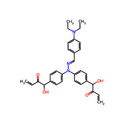 C=CC(=O)C(O)c1ccc(N(N=Cc2ccc(N(CC)CC)cc2)c2ccc(C(O)C(=O)C=C)cc2)cc1